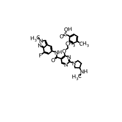 CCOc1nc(N2CCC(NC)C2)ncc1C(=O)Nc1cc(F)c2nn(C)cc2c1.Cc1ccc(S(=O)O)cc1